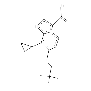 CC(C)C(=O)c1cnc2c(C3CC3)c(OCC(C)(C)O)ccn12